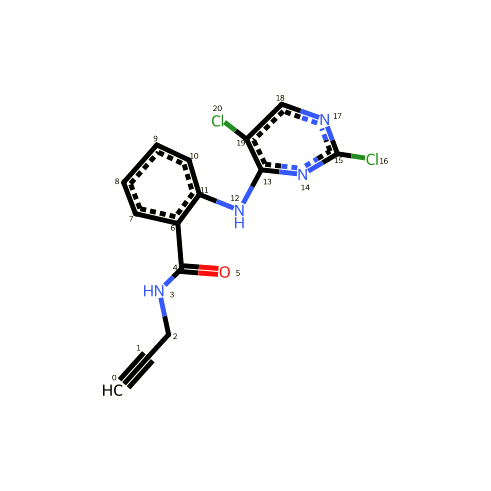 C#CCNC(=O)c1ccccc1Nc1nc(Cl)ncc1Cl